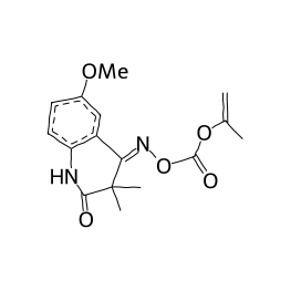 C=C(C)OC(=O)ON=C1c2cc(OC)ccc2NC(=O)C1(C)C